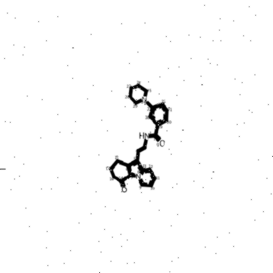 O=C(NCCc1c2c(n3ccccc13)C(=O)CCC2)c1cccc(N2CCCCC2)c1